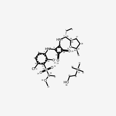 CC[C@@H](Nc1c(Nc2ccc(Cl)c(S(=O)(=O)N(C)OC)c2[O-])c(=O)c1=O)[C@H]1CC[C@@H](C)O1.C[N+](C)(C)CCO